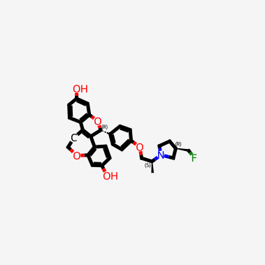 C[C@@H](COc1ccc([C@H]2Oc3cc(O)ccc3C3=C2c2ccc(O)cc2OCC3)cc1)N1CC[C@@H](CF)C1